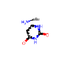 CCCCN.O=c1cc[nH]c(=O)[nH]1